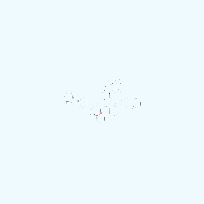 c1ccc(-c2ccc(-c3ccc4ccccc4c3)cc2N(c2cccc(-c3ccc4c(c3)oc3ccccc34)c2)c2ccc3oc4ccccc4c3c2)cc1